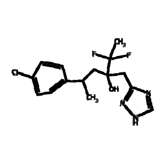 CC(CC(O)(Cc1nc[nH]n1)C(C)(F)F)c1ccc(Cl)cc1